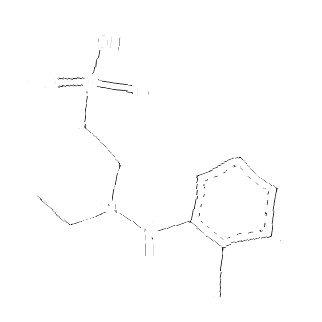 CCN(CCS(=O)(=O)O)Nc1ccccc1C